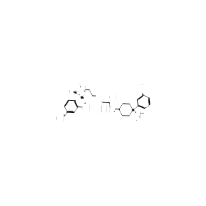 CN(C)C1(c2cccc(F)c2)CCC(NC(=O)COCCN(C)S(=O)(=O)c2ccc(Cl)cc2Cl)CC1